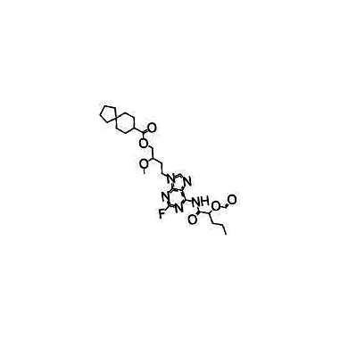 CCCC(OC=O)C(=O)Nc1nc(F)nc2c1ncn2CCC(COC(=O)C1CCC2(CCCC2)CC1)OC